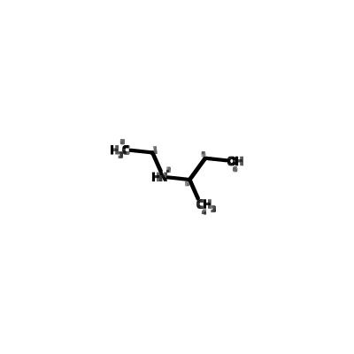 C[CH]NC(C)CO